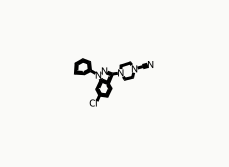 N#CN1CCN(c2nn(-c3ccccc3)c3cc(Cl)ccc23)CC1